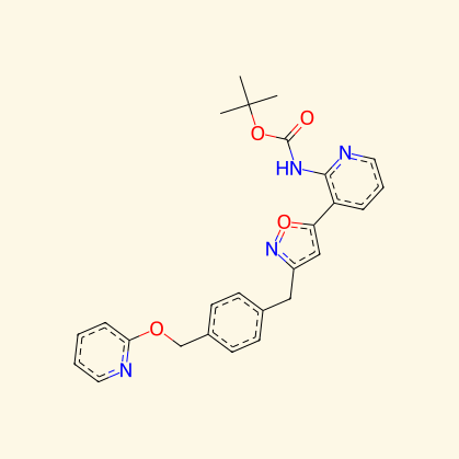 CC(C)(C)OC(=O)Nc1ncccc1-c1cc(Cc2ccc(COc3ccccn3)cc2)no1